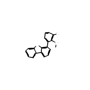 O=[N+]([O-])c1cccc(-c2cccc3c2sc2ccccc23)c1B(O)O